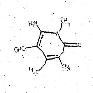 Cc1c(C=O)c(N)n(C)c(=O)c1C#N